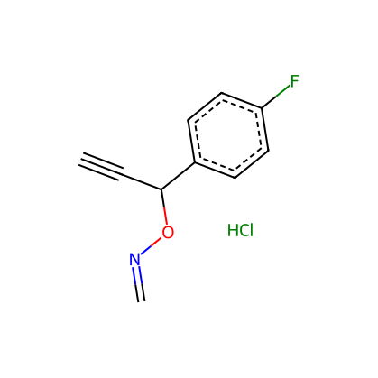 C#CC(ON=C)c1ccc(F)cc1.Cl